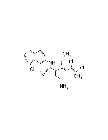 CCC/C(=C\C(Cl)=C(/C)Cl)C(CCN)C(Nc1ccc2cccc(Cl)c2c1)=C1CC1